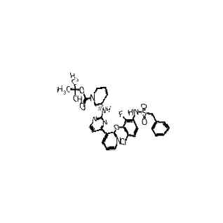 CC(C)(C)OC(=O)N1CCC[C@H](Nc2nccc(-c3cccnc3Oc3c(Cl)ccc(NS(=O)(=O)Cc4ccccc4)c3F)n2)C1